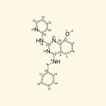 COc1cccc2c(NCc3ccccc3)nc(Nc3ccccn3)nc12